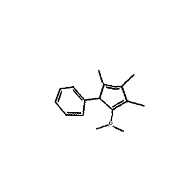 CC1=C(C)C(c2ccccc2)C(P(C)C)=C1C